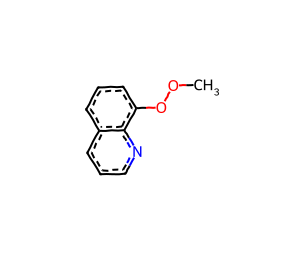 COOc1cccc2cccnc12